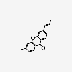 C/C=C/c1ccc2c(=O)c3ccc(C)cc3oc2c1